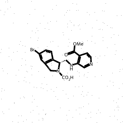 COC(=O)c1ccncc1NC[C@H]1c2ccc(Br)cc2CN1C(=O)O